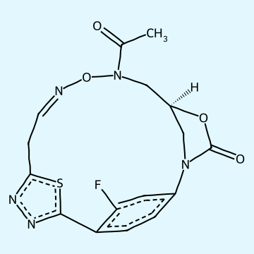 CC(=O)N1C[C@@H]2CN(C(=O)O2)c2ccc(c(F)c2)-c2nnc(s2)CC=NO1